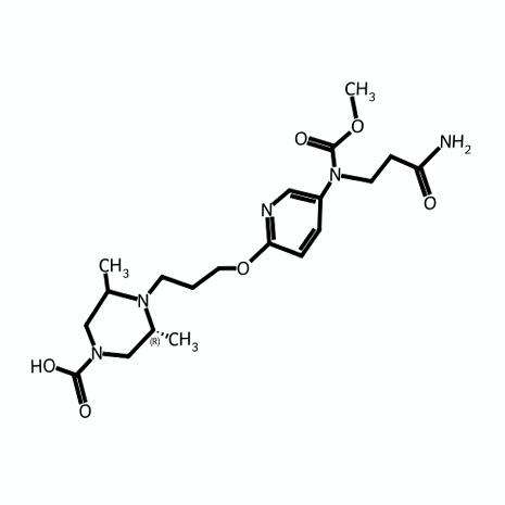 COC(=O)N(CCC(N)=O)c1ccc(OCCCN2C(C)CN(C(=O)O)C[C@H]2C)nc1